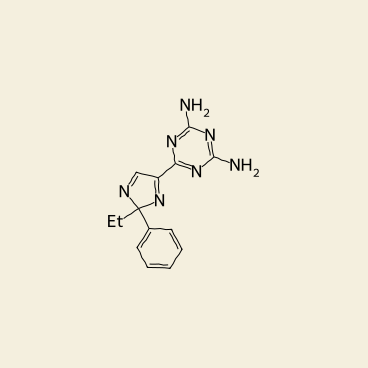 CCC1(c2ccccc2)N=CC(c2nc(N)nc(N)n2)=N1